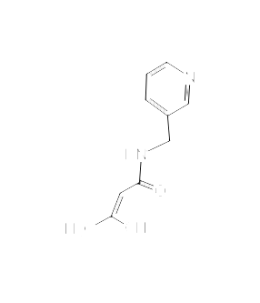 CC(C)=CC(=O)NCc1cccnc1